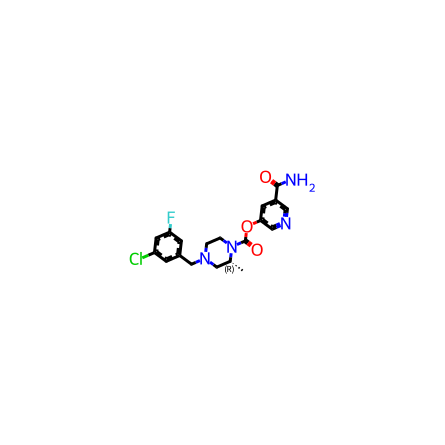 C[C@@H]1CN(Cc2cc(F)cc(Cl)c2)CCN1C(=O)Oc1cncc(C(N)=O)c1